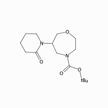 CC(C)(C)OC(=O)N1CCOCC(N2CCCCC2=O)C1